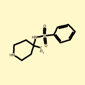 CC1(NS(=O)(=O)c2ccccc2)CCNCC1